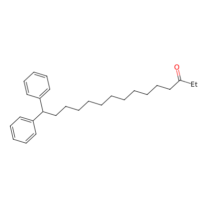 CCC(=O)CCCCCCCCCCCC(c1ccccc1)c1ccccc1